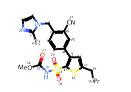 CCc1nccn1Cc1ccc(-c2cc(CC(C)C)sc2S(=O)(=O)NC(=O)OC)cc1C#N